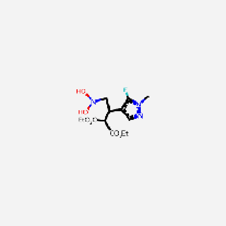 CCOC(=O)C(C(=O)OCC)C(CN(O)O)c1cnn(C)c1F